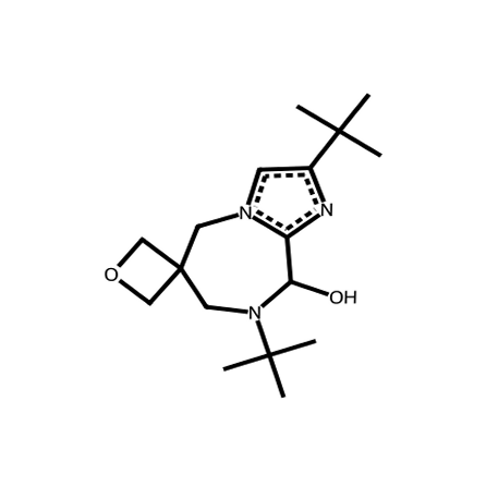 CC(C)(C)c1cn2c(n1)C(O)N(C(C)(C)C)CC1(COC1)C2